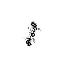 CN1/C(=C/C=C2\CCCC(/C=C/C3(C)N(C)c4ccc5ccccc5c4C3(C)C)=C2Cl)C(C)(C)c2c1ccc1ccccc21